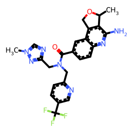 CC1OCc2c1c(N)nc1ccc(C(=O)N(Cc3ccc(C(F)(F)F)cn3)Cc3ncn(C)n3)cc21